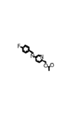 CC(=O)OCc1ccc(N=Cc2ccc(F)cc2)cn1